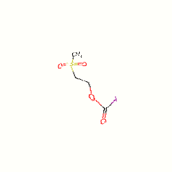 CS(=O)(=O)CCOC(=O)I